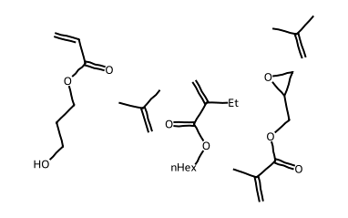 C=C(C)C.C=C(C)C.C=C(C)C(=O)OCC1CO1.C=C(CC)C(=O)OCCCCCC.C=CC(=O)OCCCO